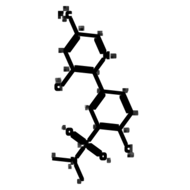 CN(C)S(=O)(=O)c1cc(-c2ncc(C(F)(F)F)cc2Cl)ccc1Cl